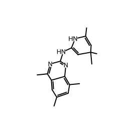 CC1=CC(C)(C)C=C(Nc2nc(C)c3cc(C)cc(C)c3n2)N1